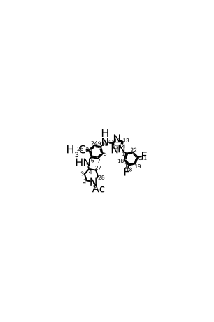 CC(=O)N1CCC(Nc2ccc(Nc3ncn(-c4cc(F)cc(F)c4)n3)cc2C)CC1